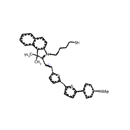 CNc1ccc(-c2ccc(-c3ccc(/C=C/C4=[N+](CCCCS)c5ccc6ccccc6c5C4(C)C)s3)s2)cc1